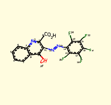 O=C(O)c1nc2ccccc2c(O)c1/N=N/c1c(F)c(F)c(F)c(F)c1F